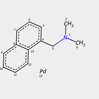 CN(C)Cc1cccc2ccccc12.[Pd]